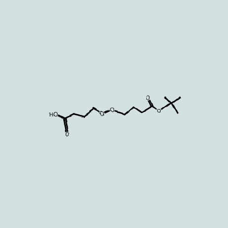 CC(C)(C)OC(=O)CCCOOCCCC(=O)O